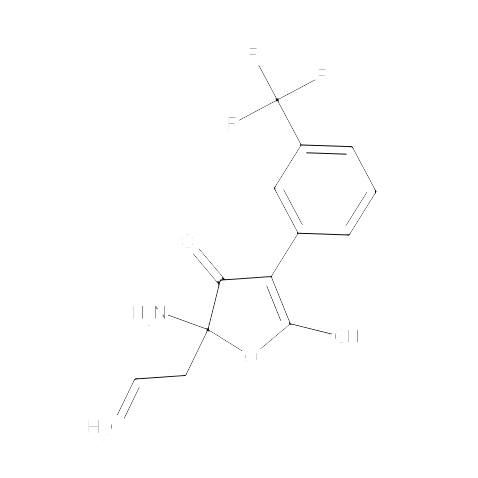 C=CCC1(N)OC(C)=C(c2cccc(C(F)(F)F)c2)C1=O